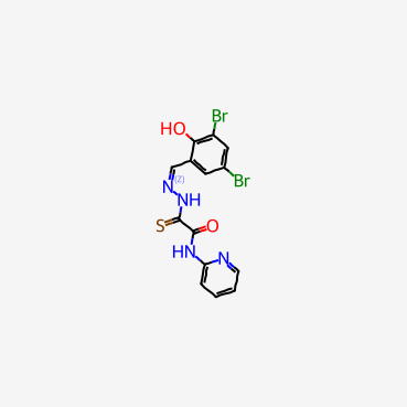 O=C(Nc1ccccn1)C(=S)N/N=C\c1cc(Br)cc(Br)c1O